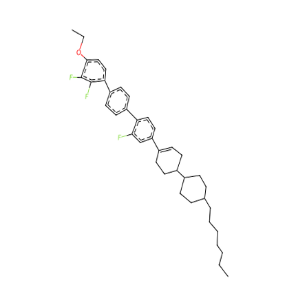 CCCCCCCC1CCC(C2CC=C(c3ccc(-c4ccc(-c5ccc(OCC)c(F)c5F)cc4)c(F)c3)CC2)CC1